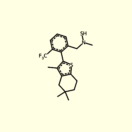 Cc1c(-c2c(CN(C)S)cccc2C(F)(F)F)sc2c1CC(C)(C)CC2